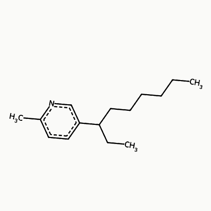 CCCCCCC(CC)c1ccc(C)nc1